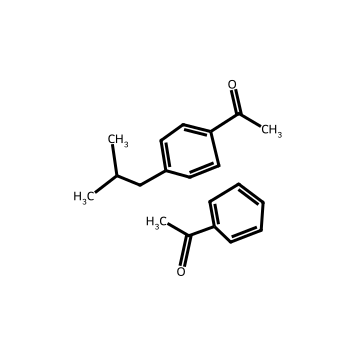 CC(=O)c1ccc(CC(C)C)cc1.CC(=O)c1ccccc1